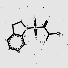 CC(C)C(=O)S(=O)(=O)N1CCc2ccccc21